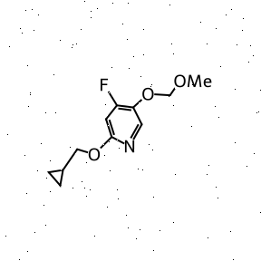 COCOc1cnc(OCC2CC2)cc1F